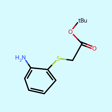 CC(C)(C)OC(=O)CSc1ccccc1N